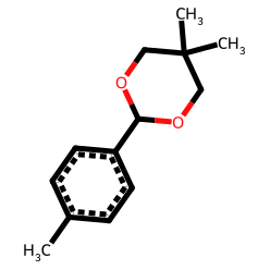 Cc1ccc(C2OCC(C)(C)CO2)cc1